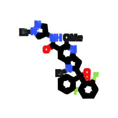 CCn1cc(NC(=O)c2cc3c(cc(C(O)(c4ccccc4F)c4ccccc4F)n3CC)nc2OC)cn1